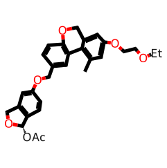 CCOCCOc1cc(C)c2c(c1)COc1ccc(COc3ccc4c(c3)CO[C@H]4OC(C)=O)cc1-2